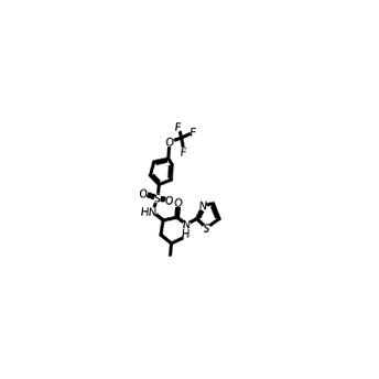 CC(C)CC(NS(=O)(=O)c1ccc(OC(F)(F)F)cc1)C(=O)Nc1nccs1